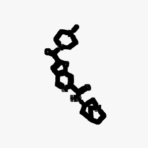 CN1CCN(C(=O)c2cc3cnc(C(=O)N[C@@H]4CC5CCN(C5)C4)cc3o2)CC1